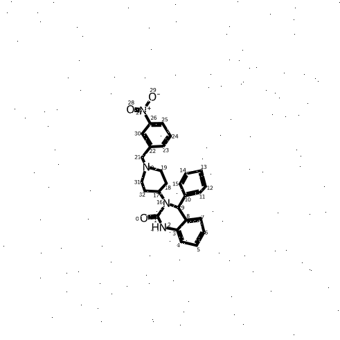 O=C1Nc2ccccc2C(c2ccccc2)N1C1CCN(Cc2cccc([N+](=O)[O-])c2)CC1